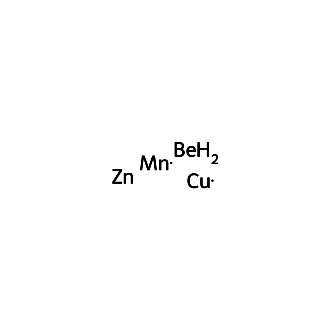 [BeH2].[Cu].[Mn].[Zn]